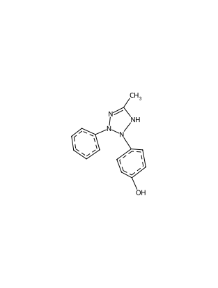 CC1=NN(c2ccccc2)N(c2ccc(O)cc2)N1